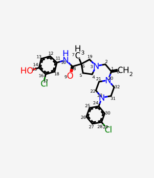 C=C(CN1CCC(C)(C(=O)Nc2ccc(O)c(Cl)c2)C1)N1CCN(c2cccc(Cl)c2)CC1